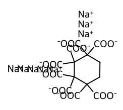 O=C([O-])C1(C(=O)[O-])CCC(C(=O)[O-])(C(=O)[O-])C(C(=O)[O-])(C(=O)[O-])C1(C(=O)[O-])C(=O)[O-].[Na+].[Na+].[Na+].[Na+].[Na+].[Na+].[Na+].[Na+]